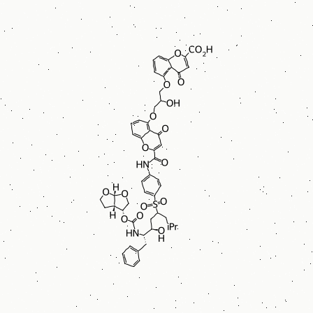 CC(C)CC(C[C@@H](O)[C@H](Cc1ccccc1)NC(=O)O[C@H]1CO[C@H]2OCC[C@H]21)S(=O)(=O)c1ccc(NC(=O)c2cc(=O)c3c(OCC(O)COc4cccc5oc(C(=O)O)cc(=O)c45)cccc3o2)cc1